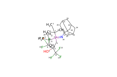 CC(C)(C)P(CC(O)(C(F)(F)F)C(F)(F)F)(=NC12CC3CC(CC(C3)C1)C2)C(C)(C)C